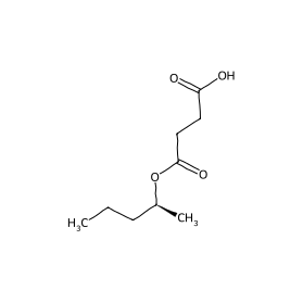 CCC[C@H](C)OC(=O)CCC(=O)O